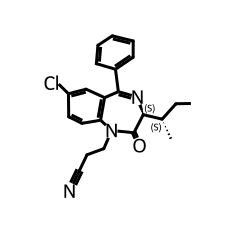 CC[C@H](C)[C@@H]1N=C(c2ccccc2)c2cc(Cl)ccc2N(CCC#N)C1=O